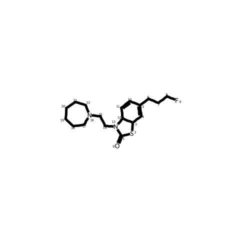 O=C1SC2C=C(CCCF)C=CC2N1CCN1CCCCCC1